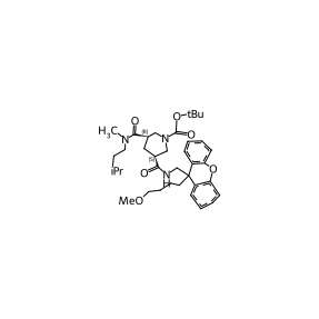 COCCCCC1(CNC(=O)[C@H]2C[C@@H](C(=O)N(C)CCC(C)C)CN(C(=O)OC(C)(C)C)C2)c2ccccc2Oc2ccccc21